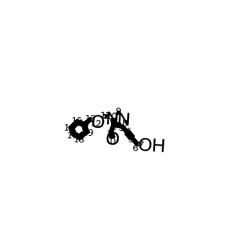 O=Cc1c(C#CCO)ncn1COCc1ccccc1